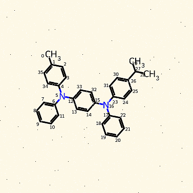 Cc1ccc(N(c2ccccc2)c2ccc(N(c3ccccc3)c3ccc(C(C)C)cc3)cc2)cc1